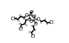 O=P(OCCCCl)(OCCCCl)OP(=O)(OCCCCl)OCCCCl